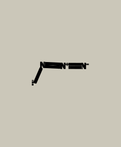 [C]N=[N+]=[N-]